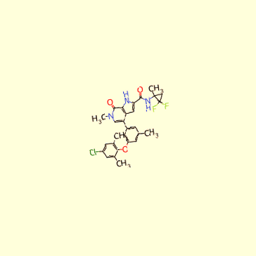 Cc1cc(Oc2c(C)cc(Cl)cc2C)cc(-c2cn(C)c(=O)c3[nH]c(C(=O)NC4(C)CC4(F)F)cc23)c1